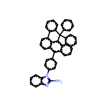 Nc1nc2ccccc2n1-c1ccc(-c2c3ccccc3c3c4c(cccc24)-c2ccccc2C3(c2ccccc2)c2ccccc2)cc1